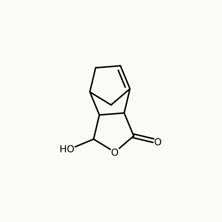 O=C1OC(O)C2C3CC=C(C3)C12